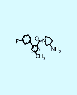 Cc1nc(C(=O)N2CCCC(N)C2)c(-c2cccc(F)c2)s1